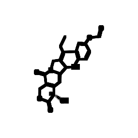 CCC1=C2Cn3c(cc4c(c3=O)COC(=O)[C@H]4O)C2Nc2ccc(OC=O)cc21